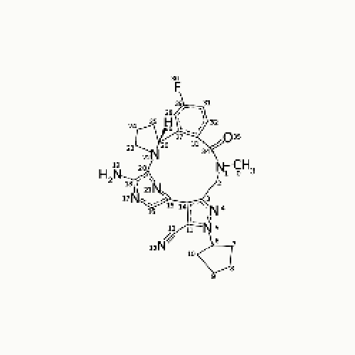 CN1Cc2nn(C3CCCC3)c(C#N)c2-c2cnc(N)c(n2)N2CCC[C@@H]2c2cc(F)ccc2C1=O